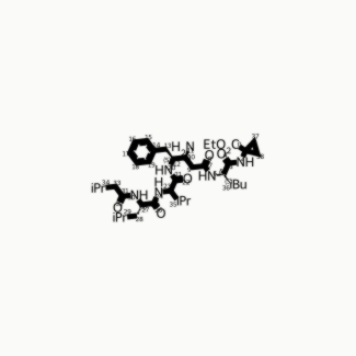 CCOC(=O)C1(NC(=O)[C@@H](NC(=O)C[C@H](N)[C@H](Cc2ccccc2)NC(=O)C(NC(=O)[C@H](CC(C)C)NC(=O)CC(C)C)C(C)C)[C@@H](C)CC)CC1